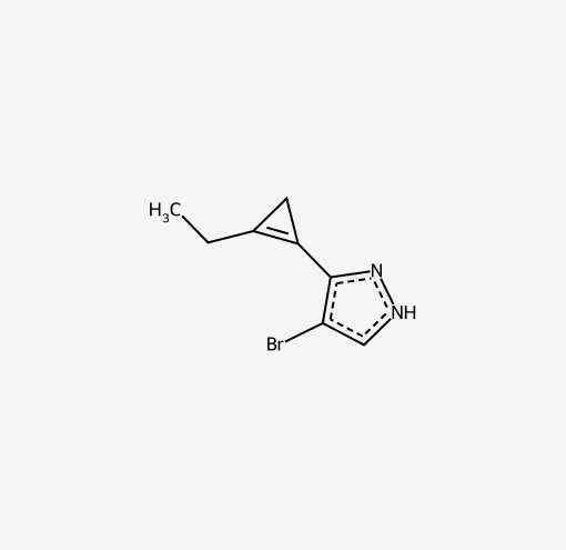 CCC1=C(c2n[nH]cc2Br)C1